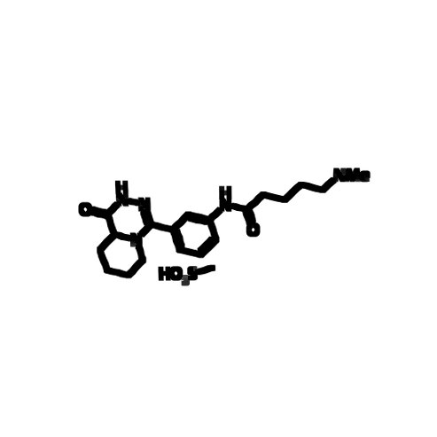 CNCCCCC(=O)Nc1cccc(C2=NNC(=O)C3CCCCN23)c1.CS(=O)(=O)O